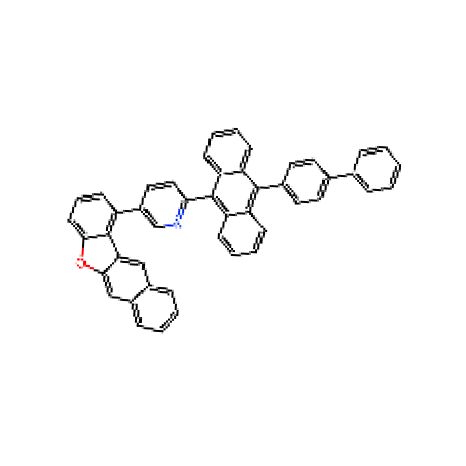 c1ccc(-c2ccc(-c3c4ccccc4c(-c4ccc(-c5cccc6oc7cc8ccccc8cc7c56)cn4)c4ccccc34)cc2)cc1